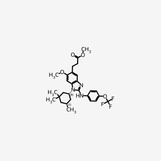 COC(=O)CCc1cc2nc(Nc3ccc(OC(F)(F)F)cc3)n([C@@H]3C[C@@H](C)CC(C)(C)C3)c2cc1OC